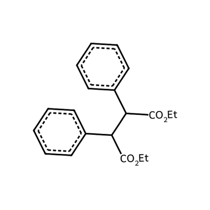 CCOC(=O)C(c1ccccc1)C(C(=O)OCC)c1ccccc1